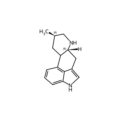 C[C@H]1CN[C@@H]2Cc3c[nH]c4cccc(c34)C2C1